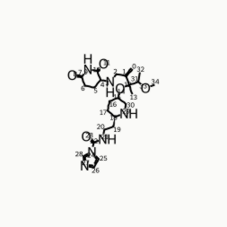 C=C(CNC1CCC(=O)NC1=O)C(C)(O[C@@H]1CC[C@H](CCNC(=O)n2ccnc2)NC1)C(C)OC